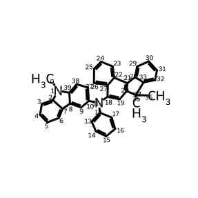 Cn1c2ccccc2c2cc(N(c3ccccc3)c3cc4c(c5ccccc35)-c3ccccc3C4(C)C)ccc21